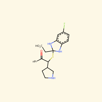 CCCC(=O)C(SC1(CC(=O)O)Nc2ccc(F)cc2N1)C1CCNC1